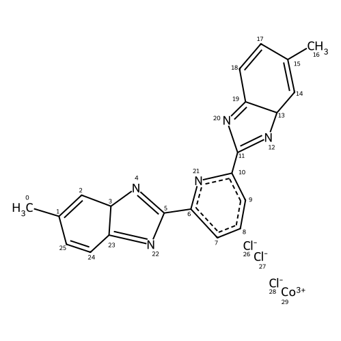 CC1=CC2N=C(c3cccc(C4=NC5C=C(C)C=CC5=N4)n3)N=C2C=C1.[Cl-].[Cl-].[Cl-].[Co+3]